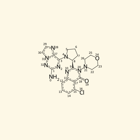 Nc1nc(N2CCC[C@H]2c2nc3cccc(Cl)c3c(=O)n2N2CCOCC2)c2nccn2n1